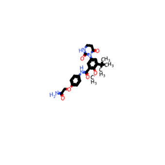 COc1c(C(=O)Nc2ccc(OCC(N)=O)cc2)cc(N2C(=O)CCNC2=O)cc1C(C)(C)C